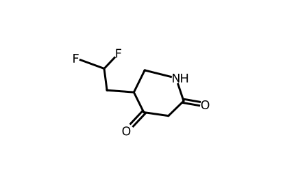 O=C1CC(=O)C(CC(F)F)CN1